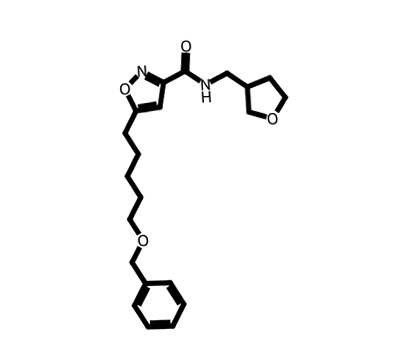 O=C(NCC1CCOC1)c1cc(CCCCCOCc2ccccc2)on1